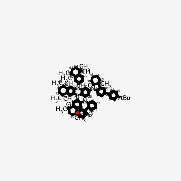 CC(C)(C)c1ccc(-c2ccc3c(c2)C2(C)CCCCC2(C)N3c2cc3c4c(c2)N(c2cccc5oc6ccccc6c25)c2cc5c(cc2B4c2cc4c(cc2N3c2ccc3c(c2)C(C)(C)CCC3(C)C)C(C)(C)CCC4(C)C)C(C)(C)CCC5(C)C)cc1